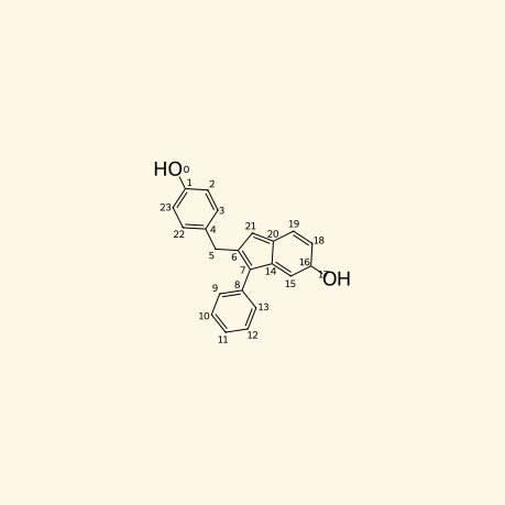 Oc1ccc(CC2=C(c3ccccc3)C3=CC(O)C=CC3=C2)cc1